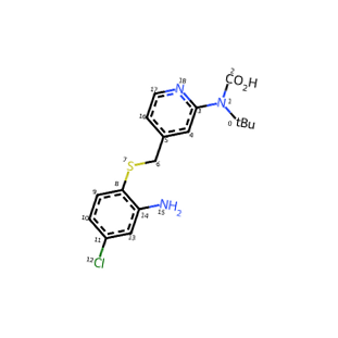 CC(C)(C)N(C(=O)O)c1cc(CSc2ccc(Cl)cc2N)ccn1